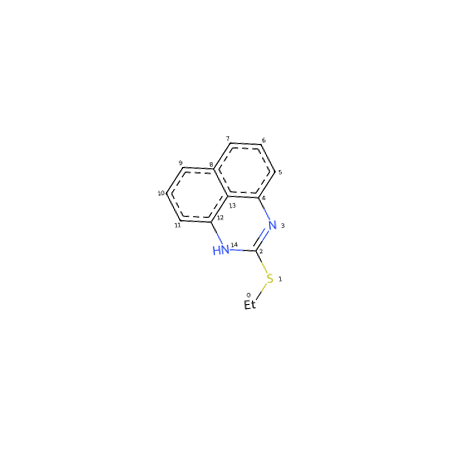 [CH2]CSC1=Nc2cccc3cccc(c23)N1